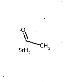 CC=O.[SrH2]